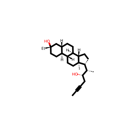 CC#CC[C@H](O)[C@@H](C)[C@H]1CC[C@H]2[C@@H]3CC[C@H]4C[C@](O)(CC)CC[C@@H]4[C@H]3CC[C@]12C